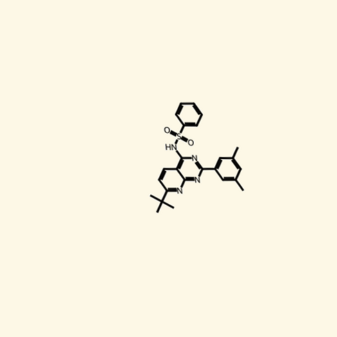 Cc1cc(C)cc(-c2nc(NS(=O)(=O)c3ccccc3)c3ccc(C(C)(C)C)nc3n2)c1